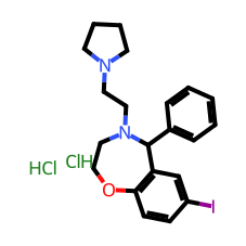 Cl.Cl.Ic1ccc2c(c1)C(c1ccccc1)N(CCN1CCCC1)CCO2